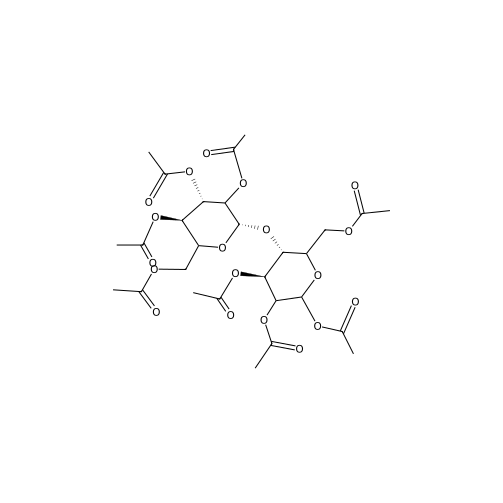 CC(=O)OCC1OC(OC(C)=O)C(OC(C)=O)[C@@H](OC(C)=O)[C@@H]1O[C@@H]1OC(COC(C)=O)[C@@H](OC(C)=O)[C@H](OC(C)=O)C1OC(C)=O